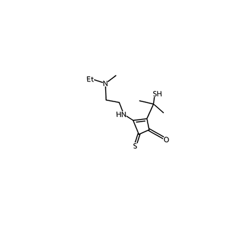 CCN(C)CCNc1c(C(C)(C)S)c(=O)c1=S